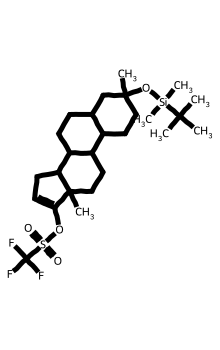 CC1(O[Si](C)(C)C(C)(C)C)CCC2C(CCC3C2CCC2(C)C(OS(=O)(=O)C(F)(F)F)=CCC32)C1